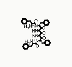 [N-]=[N+]=C(C(=O)C(=[N+]=[N-])C(=O)[C@H](Cc1ccccc1)NC(=O)[C@@H](N)Cc1ccccc1)C(=O)[C@H](Cc1ccccc1)NC(=O)[C@@H](N)Cc1ccccc1